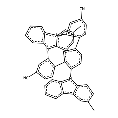 Cc1ccc2c(c1)c1ccccc1n2-c1ccc(-c2ccc(C#N)cc2C(F)(F)F)cc1-c1ccc(C#N)cc1-n1c2ccccc2c2cc(C)ccc21